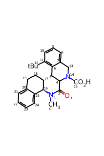 CN(C(=O)C1Cc2c(cccc2C(C)(C)C)CN1C(=O)O)[C@@H]1CCCc2ccccc21